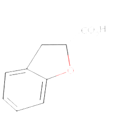 O=C(O)[C@H]1Cc2ccccc2O1